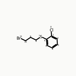 Clc1ccccc1SCCCBr